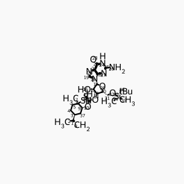 C=C(C)[C@H]1CC[C@@](C)(S)[C@H](O[PH](=S)O[C@H]2[C@@H](O)[C@H](n3cnc4c(=O)[nH]c(N)nc43)O[C@@H]2CO[Si](C)(C)C(C)(C)C)C1